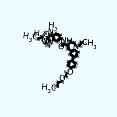 CCCCOCCOc1ccc(-c2ccc3c(c2)C=C(C(=O)Nc2ccc(C(C)(N)c4nncn4CCC)cc2)CCN3CCC)cc1